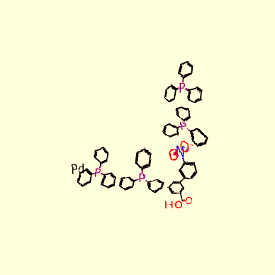 O=C(O)c1cccc(-c2cccc([N+](=O)[O-])c2)c1.[Pd].c1ccc(P(c2ccccc2)c2ccccc2)cc1.c1ccc(P(c2ccccc2)c2ccccc2)cc1.c1ccc(P(c2ccccc2)c2ccccc2)cc1.c1ccc(P(c2ccccc2)c2ccccc2)cc1